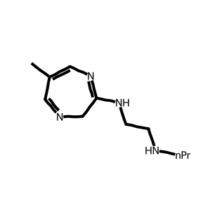 CCCNCCNC1=NC=C(C)C=NC1